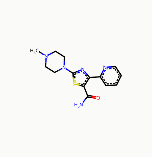 CN1CCN(c2nc(-c3ccccn3)c(C(N)=O)s2)CC1